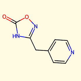 O=c1[nH]c(Cc2ccncc2)no1